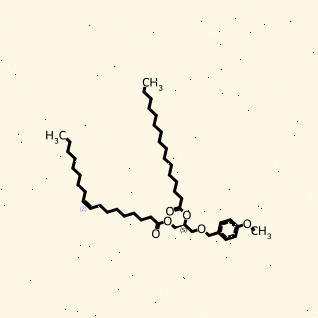 CCCCCCCC/C=C\CCCCCCCC(=O)OC[C@H](COCc1ccc(OC)cc1)OC(=O)CCCCCCCCCCCCCCC